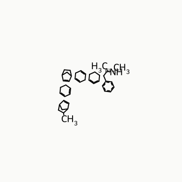 C1=CC2CCC1C2.C1=CCC=CC1.C1=CCCC=C1.C1=CCCCC=1.CC1CC2C=CC1C2.CN[C@@H](C)Cc1ccccc1